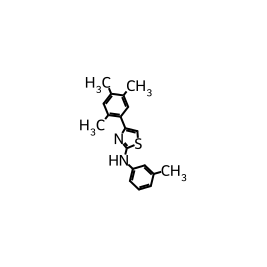 Cc1cccc(Nc2nc(-c3cc(C)c(C)cc3C)cs2)c1